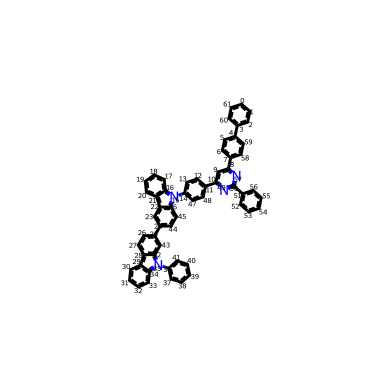 c1ccc(-c2ccc(-c3cc(-c4ccc(-n5c6ccccc6c6cc(-c7ccc8c9ccccc9n(-c9ccccc9)c8c7)ccc65)cc4)nc(-c4ccccc4)n3)cc2)cc1